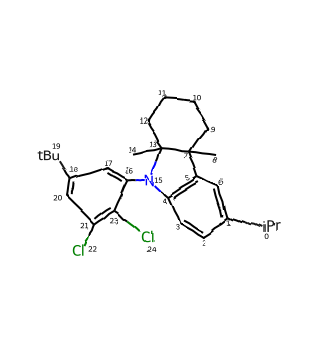 CC(C)c1ccc2c(c1)C1(C)CCCCC1(C)N2c1cc(C(C)(C)C)cc(Cl)c1Cl